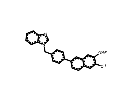 COc1cc2cc(-c3ccc(Cn4cnc5ccccc54)cc3)ccc2cc1O